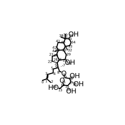 CC(C)=CCC[C@](C)(CO[C@@H]1OC(CO)[C@@H](O)[C@@H](O)C1O)[C@H]1CC[C@]2(C)C1[C@H](O)CC1[C@@]3(C)CC[C@H](O)C(C)(C)C3CC[C@]12C